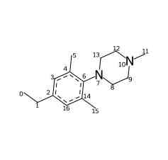 CCc1cc(C)c(N2CCN(C)CC2)c(C)c1